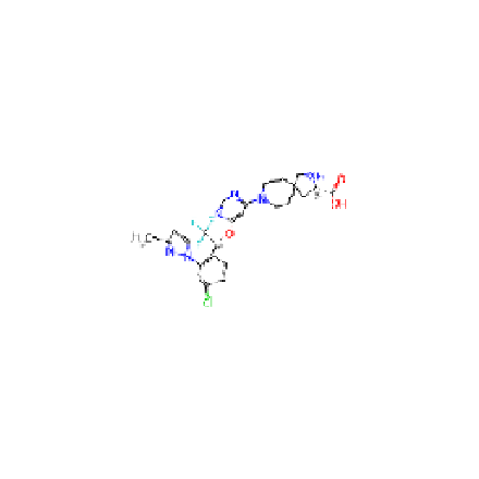 Cc1ccn(-c2cc(Cl)ccc2[C@@H](Oc2cc(N3CCC4(CC3)CN[C@H](C(=O)O)C4)ncn2)C(F)(F)F)n1